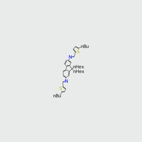 CCCCCCC1(CCCCCC)c2cc(N=Cc3ccc(CCCC)s3)ccc2-c2ccc(N=Cc3ccc(CCCC)s3)cc21